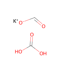 O=C(O)O.O=C[O-].[K+]